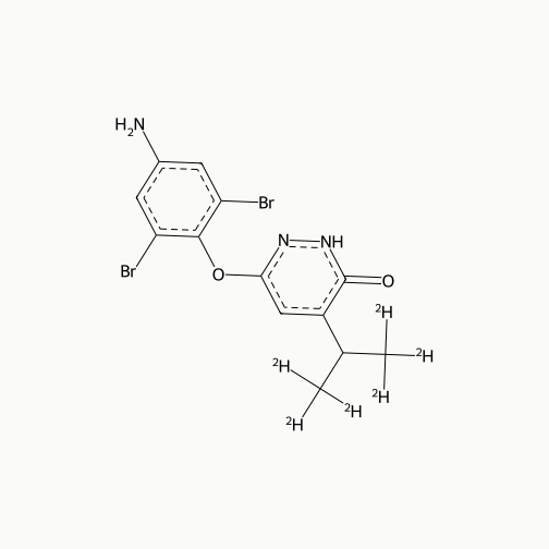 [2H]C([2H])([2H])C(c1cc(Oc2c(Br)cc(N)cc2Br)n[nH]c1=O)C([2H])([2H])[2H]